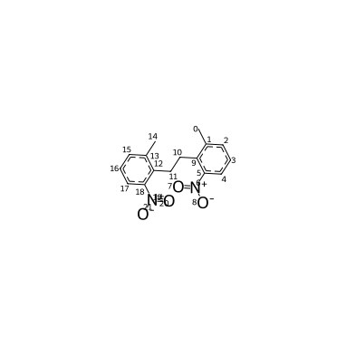 Cc1cccc([N+](=O)[O-])c1CCc1c(C)cccc1[N+](=O)[O-]